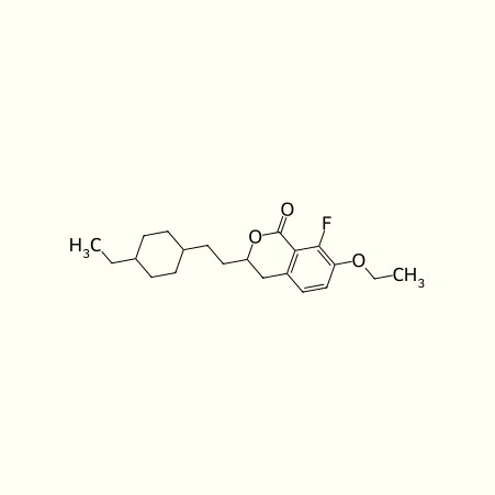 CCOc1ccc2c(c1F)C(=O)OC(CCC1CCC(CC)CC1)C2